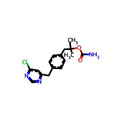 CC(C)(Cc1ccc(Cc2cc(Cl)ncn2)cc1)OC(N)=O